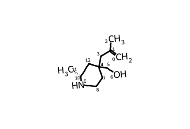 C=C(C)CC1(CO)CCN[C@H](C)C1